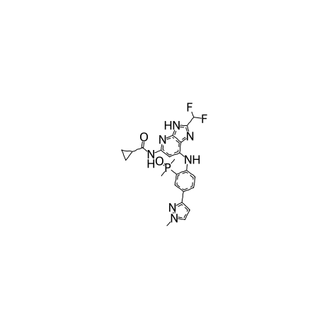 Cn1ccc(-c2ccc(Nc3cc(NC(=O)C4CC4)nc4[nH]c(C(F)F)nc34)c(P(C)(C)=O)c2)n1